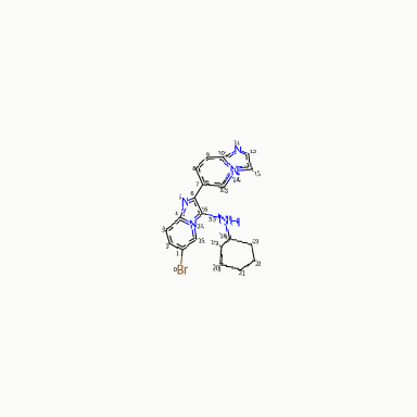 Brc1ccc2nc(-c3ccc4nccn4c3)c(NC3CCCCC3)n2c1